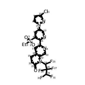 CCS(=O)(=O)c1cc(-n2ccc(Cl)n2)cnc1-c1cc2ccc(=O)n(C(F)C(F)(F)C(F)F)c2cn1